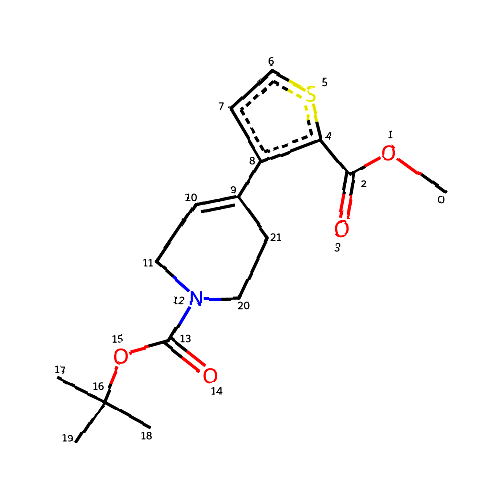 COC(=O)c1sccc1C1=CCN(C(=O)OC(C)(C)C)CC1